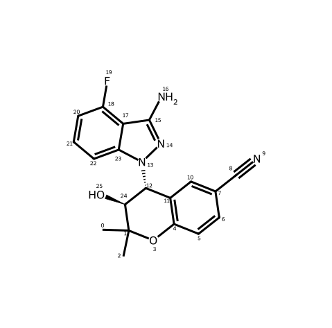 CC1(C)Oc2ccc(C#N)cc2[C@@H](n2nc(N)c3c(F)cccc32)[C@@H]1O